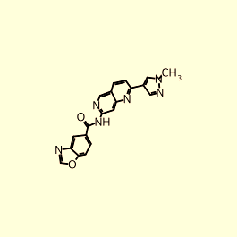 Cn1cc(-c2ccc3cnc(NC(=O)c4ccc5ocnc5c4)cc3n2)cn1